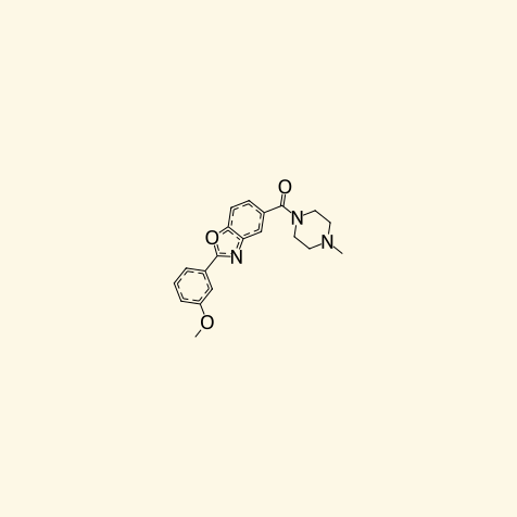 COc1cccc(-c2nc3cc(C(=O)N4CCN(C)CC4)ccc3o2)c1